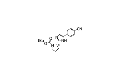 CC(C)(C)OC(=O)N1CCC[C@H]1c1ncc(-c2ccc(C#N)cc2)[nH]1